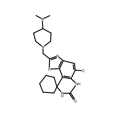 CN(C)C1CCN(Cc2nc3cc(Cl)c4c(c3o2)C2(CCCCC2)NC(=O)N4)CC1